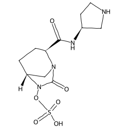 O=C(N[C@H]1CCNC1)[C@@H]1CC[C@@H]2CN1C(=O)N2OS(=O)(=O)O